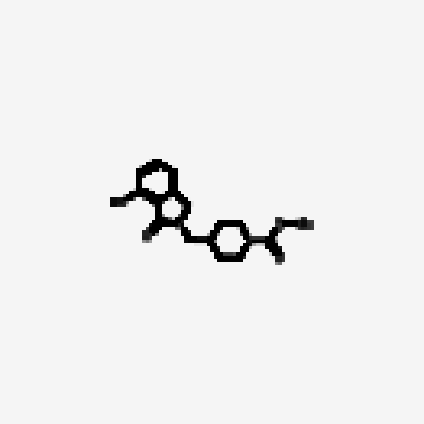 CC(C)(C)OC(=O)N1CCC(CN2Cc3cccc(O)c3C2=O)CC1